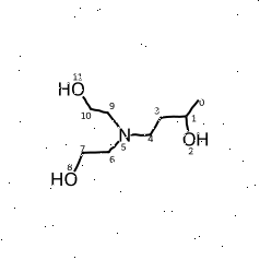 CC(O)CCN(CCO)CCO